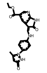 CCOC(=O)c1cnc2c(c1)C(=CNc1ccc(-n3[nH]c(=O)cc3C)cc1)C(=O)N2